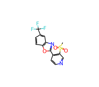 CS(=O)(=O)c1cnccc1-c1nc2cc(C(F)(F)F)ccc2o1